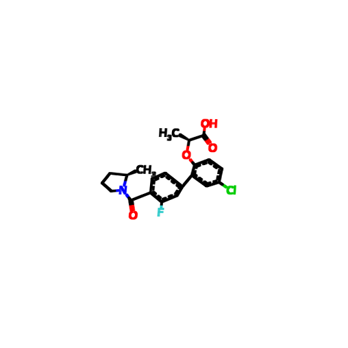 C[C@H](Oc1ccc(Cl)cc1-c1ccc(C(=O)N2CCC[C@H]2C)c(F)c1)C(=O)O